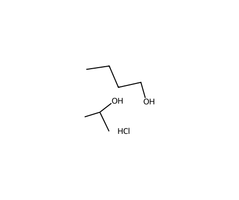 CC(C)O.CCCCO.Cl